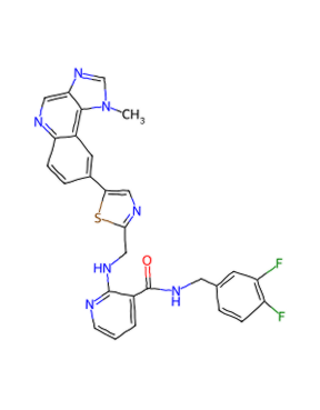 Cn1cnc2cnc3ccc(-c4cnc(CNc5ncccc5C(=O)NCc5ccc(F)c(F)c5)s4)cc3c21